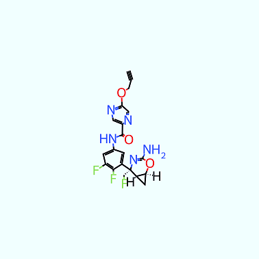 C#CCOc1cnc(C(=O)Nc2cc(F)c(F)c([C@@]3(CF)N=C(N)O[C@H]4C[C@H]43)c2)cn1